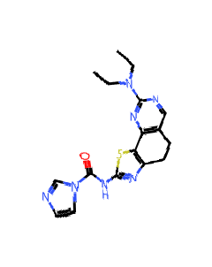 CCN(CC)c1ncc2c(n1)-c1sc(NC(=O)n3ccnc3)nc1CC2